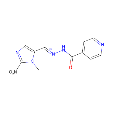 Cn1c(/C=N/NC(=O)c2ccncc2)cnc1[N+](=O)[O-]